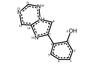 Oc1ccccc1-c1cn2ncncc2n1